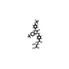 CC(C)(C)[C@H]1CC[C@]2(CC1)CN(Cc1ccc(C(=O)NC[C@@H](O)C(=O)O)cc1)C(=O)N(c1ccc(OC(F)(F)F)cc1)C2